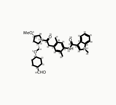 CO[C@H]1C[C@@H](CO[C@H]2CC[C@H](C=O)CC2)N(C(=O)Cc2cc(C)c(NC(=O)c3cn(C)c4ccccc34)cc2C)C1